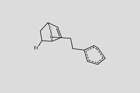 CCC1CC2C=CC1N(CCc1ccccc1)C2